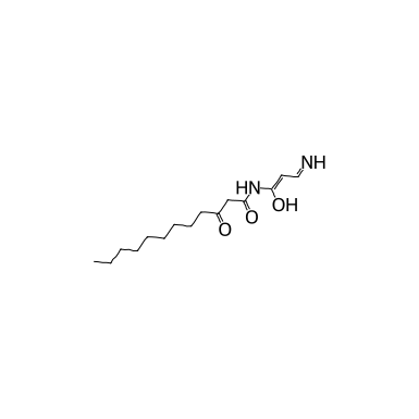 CCCCCCCCCC(=O)CC(=O)N/C(O)=C/C=N